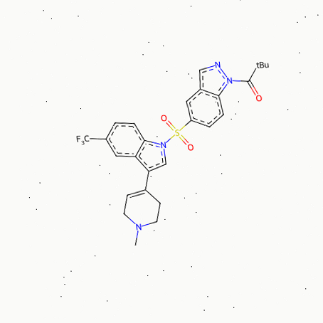 CN1CC=C(c2cn(S(=O)(=O)c3ccc4c(cnn4C(=O)C(C)(C)C)c3)c3ccc(C(F)(F)F)cc23)CC1